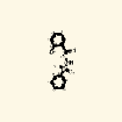 O=S(=O)(NN=C(Cl)c1ccccc1Br)c1ccccc1